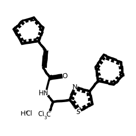 Cl.O=C(/C=C/c1ccccc1)NC(c1nc(-c2ccccc2)cs1)C(Cl)(Cl)Cl